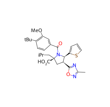 COc1cc(C(=O)N2[C@@H](c3cccs3)[C@@H](c3nc(C)no3)C[C@@]2(CC(C)C)C(=O)O)ccc1C(C)(C)C